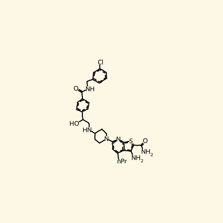 CCCc1cc(N2CCC(NCC(O)c3ccc(C(=O)NCc4cccc(Cl)c4)cc3)CC2)nc2sc(C(N)=O)c(N)c12